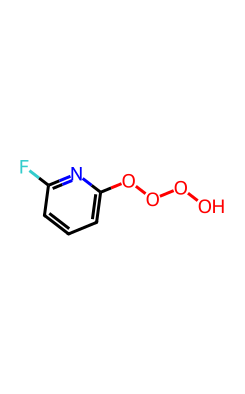 OOOOc1cccc(F)n1